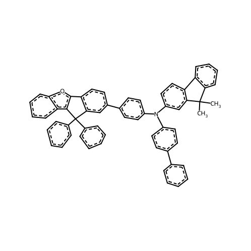 CC1(C)c2ccccc2-c2ccc(N(c3ccc(-c4ccccc4)cc3)c3ccc(-c4ccc5c(c4)C(c4ccccc4)(c4ccccc4)c4c-5oc5ccccc45)cc3)cc21